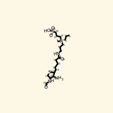 CCC[N+](C)(CCCNC(=O)CCCCC1SCC(NC=O)C1N)CCCS(=O)(=O)O